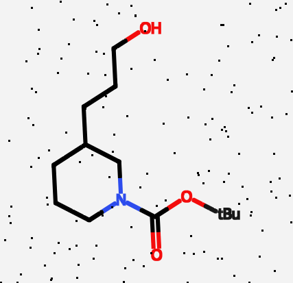 CC(C)(C)OC(=O)N1CCCC(CCCO)C1